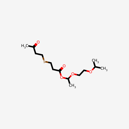 CC(=O)CCSCCC(=O)OC(C)OCCOC(C)C